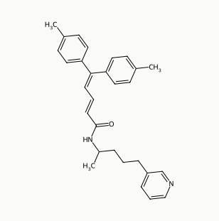 Cc1ccc(C(=C/C=C/C(=O)NC(C)CCCc2cccnc2)c2ccc(C)cc2)cc1